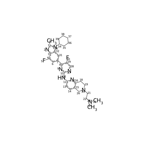 Cc1nc2c(F)cc(-c3nc(Nc4ccc5c(n4)CCN(CCN(C)C)C5)ncc3F)cc2n1C1CCCCC1